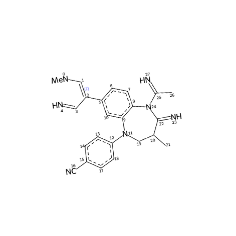 CN/C=C(\C=N)c1ccc2c(c1)N(c1ccc(C#N)cc1)CC(C)C(=N)N2C(C)=N